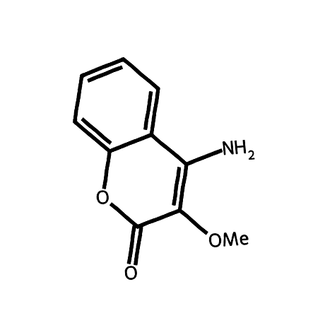 COc1c(N)c2ccccc2oc1=O